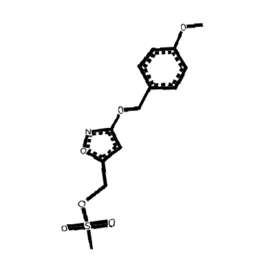 COc1ccc(COc2cc(COS(C)(=O)=O)on2)cc1